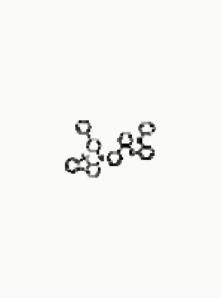 CC1(C)c2ccccc2-c2cccc(N(c3ccc(-c4ccccc4)cc3)c3cccc(-c4cccc5c4Oc4ccccc4N5c4ccccc4)c3)c21